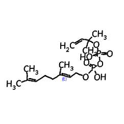 C=CC(C)(C)OP(=O)(O)OP(=O)(O)OC/C=C(\C)CCC=C(C)C